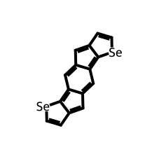 C1=c2cc[se]c2=c2cc3c(cc21)=c1[se]ccc1=C3